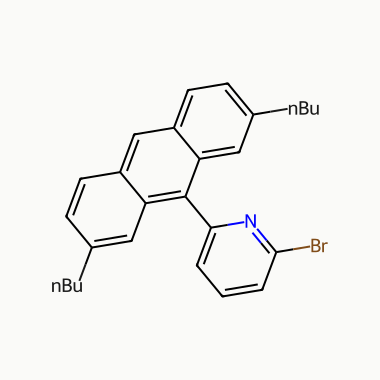 CCCCc1ccc2cc3ccc(CCCC)cc3c(-c3cccc(Br)n3)c2c1